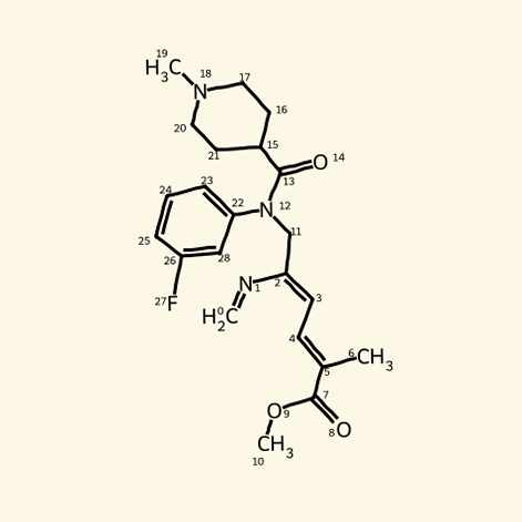 C=N/C(=C\C=C(/C)C(=O)OC)CN(C(=O)C1CCN(C)CC1)c1cccc(F)c1